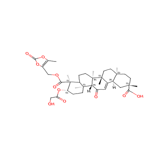 Cc1oc(=O)oc1COC(=O)[C@@]1(C)C2CC[C@]3(C)[C@H](C(=O)C=C4[C@@H]5C[C@@](C)(C(=O)O)CC[C@]5(C)CC[C@]43C)[C@@]2(C)CC[C@@H]1OC(=O)CO